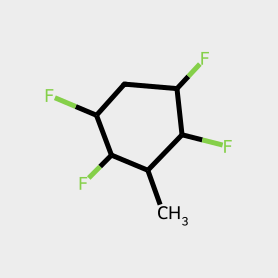 CC1C(F)C(F)CC(F)C1F